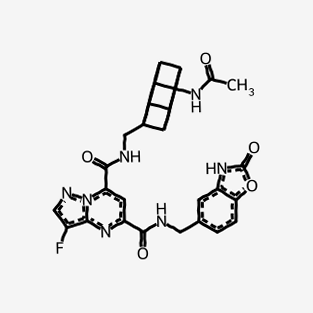 CC(=O)NC12C3C4C1C1C2C3C41CNC(=O)c1cc(C(=O)NCc2ccc3oc(=O)[nH]c3c2)nc2c(F)cnn12